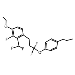 CCCc1ccc(OC(F)(F)CCc2ccc(OCC)c(F)c2C(F)F)cc1